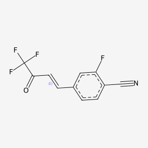 N#Cc1ccc(/C=C/C(=O)C(F)(F)F)cc1F